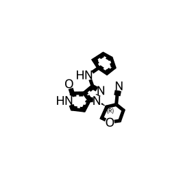 N#CC1CCOC[C@@H]1n1nc(Nc2ccccc2)c2c(=O)[nH]ccc21